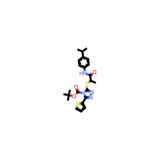 CC(Sc1nnc(-c2cccs2)n1C(=O)OC(C)(C)C)C(=O)Nc1ccc(C(C)C)cc1